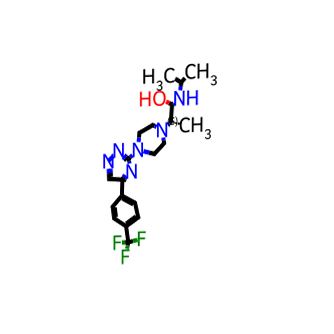 CC(C)NC(O)[C@H](C)N1CCN(c2nncc(-c3ccc(C(F)(F)F)cc3)n2)CC1